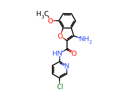 COc1cccc2c(N)c(C(=O)Nc3ccc(Cl)cn3)oc12